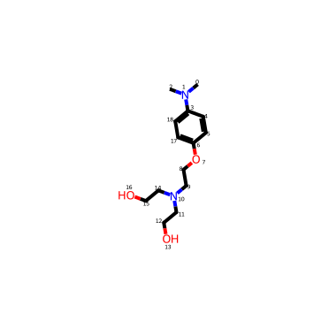 CN(C)c1ccc(OCCN(CCO)CCO)cc1